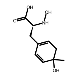 CC1(O)C=CC(C[C@H](NO)C(=O)O)=CC1